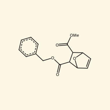 COC(=O)C1C2C=CC(O2)C1C(=O)OCc1ccccc1